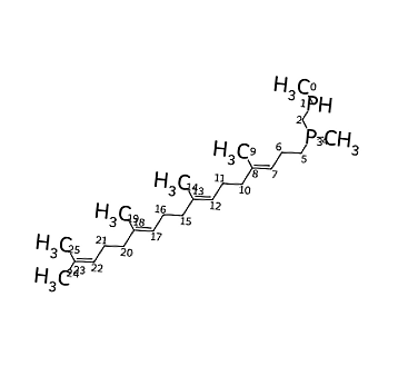 CPCP(C)CC/C=C(\C)CC/C=C(\C)CC/C=C(\C)CCC=C(C)C